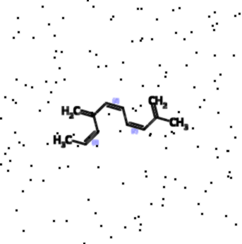 C=C(C)/C=C\C=C/C(=C)/C=C\C